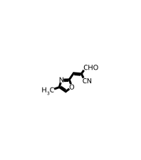 Cc1coc(/C=C(\C#N)C=O)n1